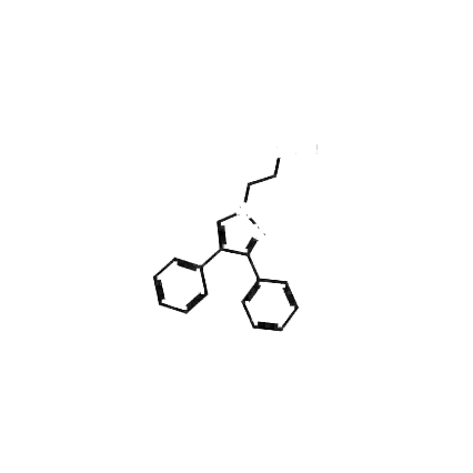 O=C(O)CCn1cc(-c2ccccc2)c(-c2ccccc2)n1